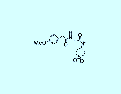 COc1ccc(CC(=O)NCC(=O)N(C)C2CCS(=O)(=O)CC2)cc1